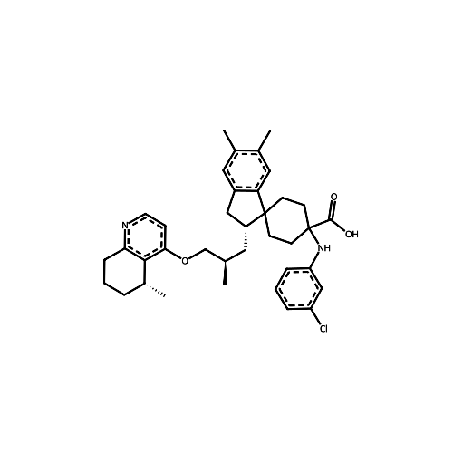 Cc1cc2c(cc1C)C1(CCC(Nc3cccc(Cl)c3)(C(=O)O)CC1)[C@H](C[C@@H](C)COc1ccnc3c1[C@H](C)CCC3)C2